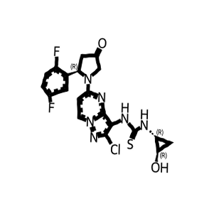 O=C1C[C@H](c2cc(F)ccc2F)N(c2ccn3nc(Cl)c(NC(=S)N[C@@H]4C[C@H]4O)c3n2)C1